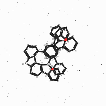 c1ccc(-c2nc(-c3ccccc3)nc(-c3cccc4oc5ccc6c7ccccc7n(-c7ccc8c9ccccc9c9ccccc9c8c7)c6c5c34)n2)cc1